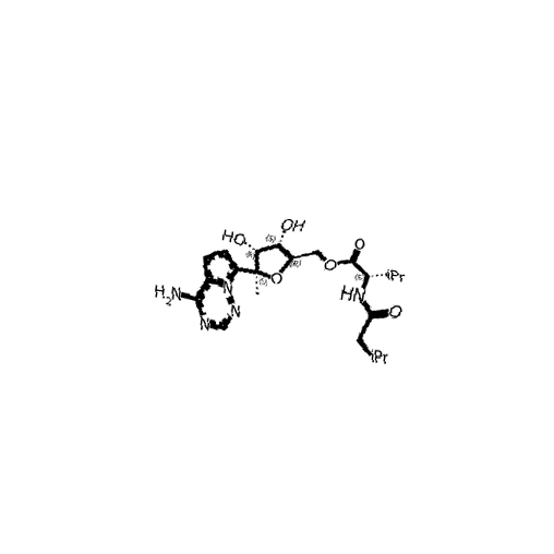 CC(C)CC(=O)N[C@H](C(=O)OC[C@H]1O[C@@](C)(c2ccc3c(N)ncnn23)[C@H](O)[C@@H]1O)C(C)C